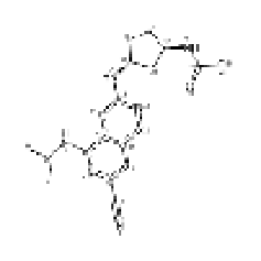 CC(C)Nc1nc(C#N)cc2cnc(N[C@H]3CC[C@@H](NC(=O)O)C3)cc12